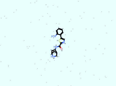 Nc1ccccc1-c1cnc(C(=O)NC2CC3CC2CN3)s1